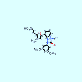 CCN(C(=O)Nc1cc(OC)cc(OC)c1)c1cccc(-c2cc(C)c(CCC(=O)O)o2)c1